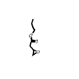 [CH2]CCOC(=O)CC1CO1